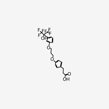 O=C(O)CCc1ccc(OCCCOc2cccc(C(O)(C(F)(F)F)C(F)(F)F)c2)cc1